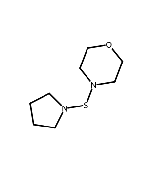 C1CCN(SN2CCOCC2)C1